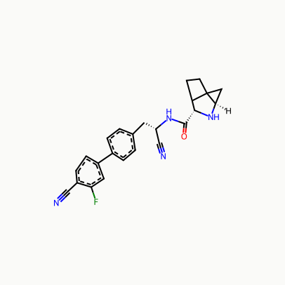 N#Cc1ccc(-c2ccc(C[C@@H](C#N)NC(=O)[C@H]3N[C@@H]4CC45CCC35)cc2)cc1F